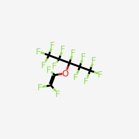 FC(F)=C(F)OC(F)(C(F)(F)C(F)(F)F)C(F)(F)C(F)(F)F